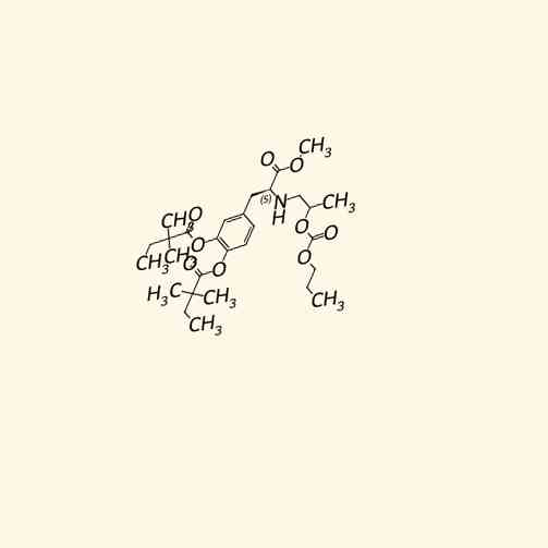 CCCOC(=O)OC(C)CN[C@@H](Cc1ccc(OC(=O)C(C)(C)CC)c(OC(=O)C(C)(C)CC)c1)C(=O)OC